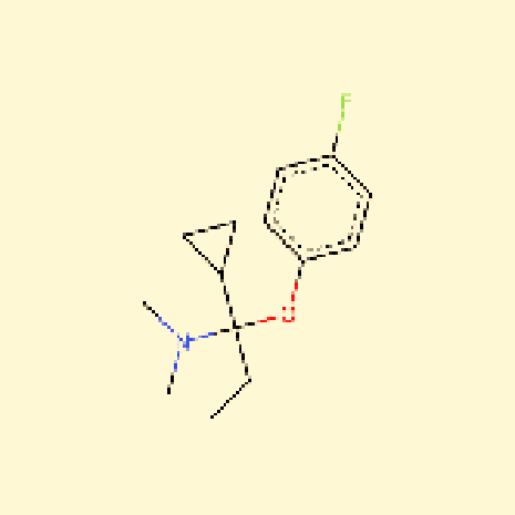 CCC(Oc1ccc(F)cc1)(C1CC1)N(C)C